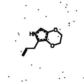 C=CCc1[nH]cc2c1OCCO2